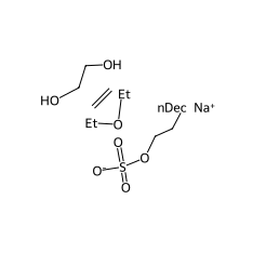 C=C.CCCCCCCCCCCCOS(=O)(=O)[O-].CCOCC.OCCO.[Na+]